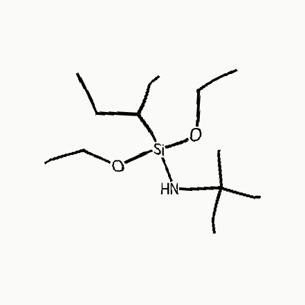 CCO[Si](NC(C)(C)C)(OCC)C(C)CC